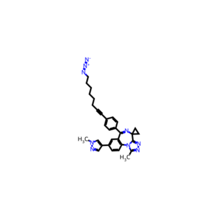 Cc1nnc2n1-c1ccc(-c3cnn(C)c3)cc1C(c1ccc(C#CCCCCCCN=[N+]=[N-])cc1)=NC21CC1